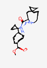 COC(=O)c1ccc(C2(NC(=O)C3CC4(CCN3)CC4)CC2)cc1